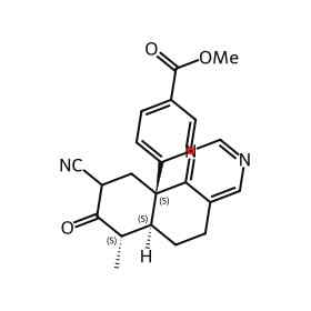 COC(=O)c1ccc([C@]23CC(C#N)C(=O)[C@@H](C)[C@@H]2CCc2cncnc23)cc1